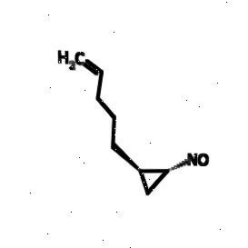 C=CCCC[C@@H]1C[C@H]1N=O